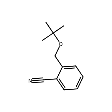 CC(C)(C)OCc1ccccc1C#N